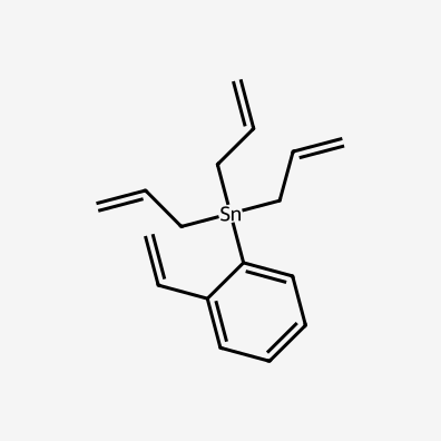 C=C[CH2][Sn]([CH2]C=C)([CH2]C=C)[c]1ccccc1C=C